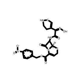 O=C(OCc1ccc([N+](=O)[O-])cc1)C1=CCS[C@@H]2C(NC(=O)/C(=N\O)C3=CSNCC3)C(=O)N12